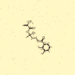 C=C(C(=O)OC(C)(CC)CCOC(=O)c1cccc(C)c1C)C(F)(F)F